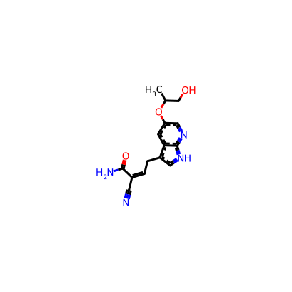 CC(CO)Oc1cnc2[nH]cc(CC=C(C#N)C(N)=O)c2c1